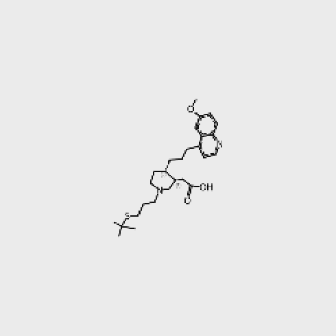 COc1ccc2nccc(CCC[C@@H]3CCN(CCCSC(C)(C)C)C[C@@H]3CC(=O)O)c2c1